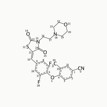 N#Cc1ccc(Oc2ccc(C=C3SC(=O)N(CCN4CCOCC4)C3=O)cc2F)c(C(F)(F)F)c1